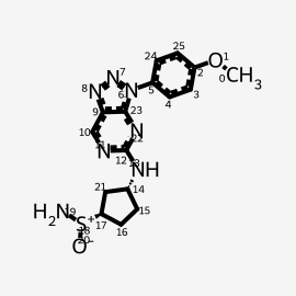 COc1ccc(-n2nnc3cnc(N[C@@H]4CC[C@@H]([S+](N)[O-])C4)nc32)cc1